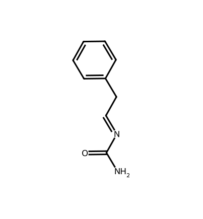 NC(=O)N=CCc1ccccc1